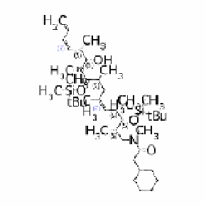 C=C/C=C\[C@H](C)[C@H](O)[C@@H](C)[C@H](O[Si](C)(C)C(C)(C)C)[C@@H](C)C/C(C)=C\[C@H](C)[C@H](O[Si](C)(C)C(C)(C)C)[C@@H](C)CN(C)C(=O)CC1CCCCC1